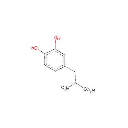 O=C(O)C(Cc1ccc(O)c(O)c1)[N+](=O)[O-]